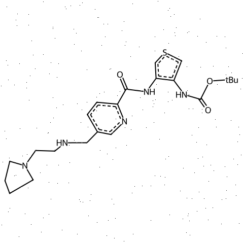 CC(C)(C)OC(=O)Nc1cscc1NC(=O)c1ccc(CNCCN2CCCC2)cn1